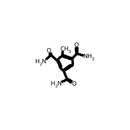 Cc1c(C(N)=O)cc(C(N)=O)cc1C(N)=O